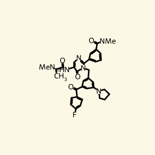 CNC(=O)c1cccc(-c2ncc(NC(=O)[C@H](C)NC)c(=O)n2Cc2cc(C(=O)c3ccc(F)cc3)cc(N3CCCC3)c2)c1